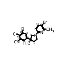 Cc1nc(N2CCC(C)(c3cc(Cl)c(Cl)c(Cl)c3)C2)ccc1Br